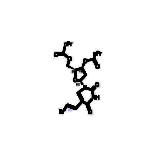 CCCC(=O)OC[C@H]1O[C@@H](n2cc(/C=C/Br)c(=O)[nH]c2=O)C[C@@H]1OC(=O)CCC